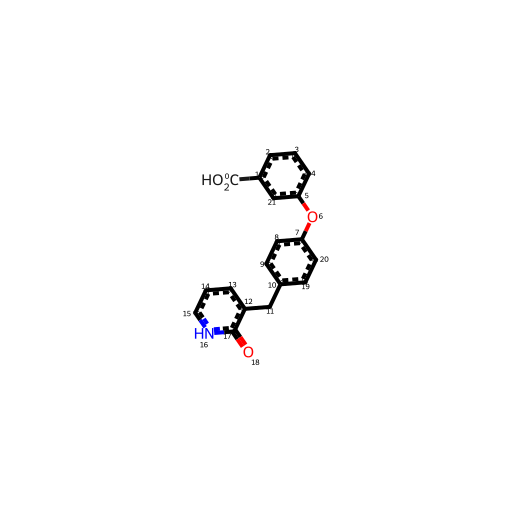 O=C(O)c1cccc(Oc2ccc(Cc3ccc[nH]c3=O)cc2)c1